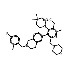 Cc1cc(F)ccc1CN1CCc2cc(-c3c(CN4CCSCC4)nc(C)c(CC(=O)O)c3N3CCC(C)(C)CC3)ccc2C1